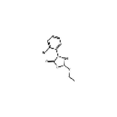 CCOC1NN(c2ccccc2Br)C(=O)O1